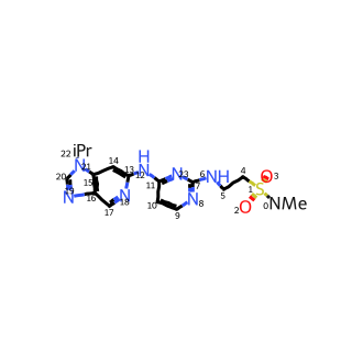 CNS(=O)(=O)CCNc1nccc(Nc2cc3c(cn2)ncn3C(C)C)n1